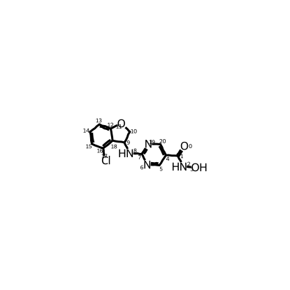 O=C(NO)c1cnc(NC2COc3cccc(Cl)c32)nc1